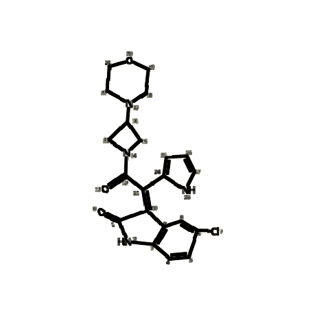 O=C1Nc2ccc(Cl)cc2/C1=C(/C(=O)N1CC(N2CCOCC2)C1)c1ccc[nH]1